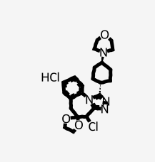 Cl.ClC1c2nnc([C@H]3CC[C@H](N4CCOCC4)CC3)n2-c2ccccc2CC12OCCO2